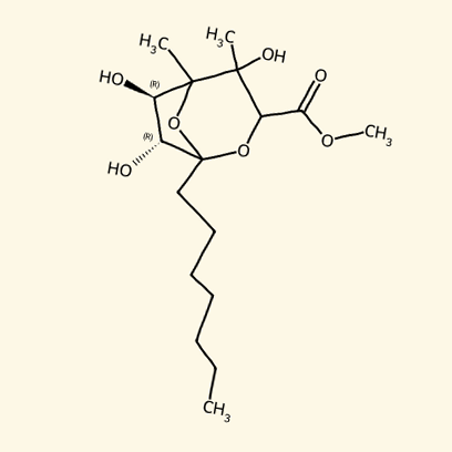 CCCCCCCC12OC(C(=O)OC)C(C)(O)C(C)(O1)[C@H](O)[C@H]2O